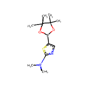 CN(C)c1ncc(B2OC(C)(C)C(C)(C)O2)s1